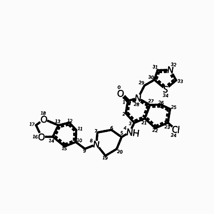 O=c1cc(NC2CCN(Cc3ccc4c(c3)OCO4)CC2)c2cc(Cl)ccc2n1Cc1cncs1